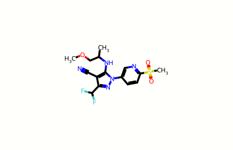 COCC(C)Nc1c(C#N)c(C(F)F)nn1-c1ccc(S(C)(=O)=O)nc1